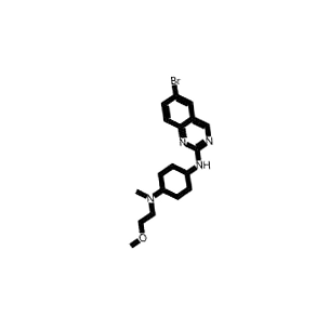 COCCN(C)C1CCC(Nc2ncc3cc(Br)ccc3n2)CC1